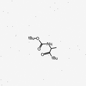 CC(NC(=O)OC(C)(C)C)C(=O)C(C)(C)C